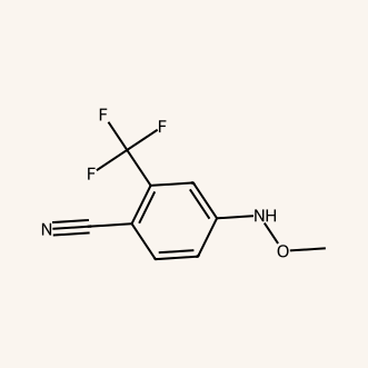 CONc1ccc(C#N)c(C(F)(F)F)c1